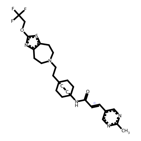 Cc1ncc(/C=C/C(=O)NC23CCC(CCN4CCc5nc(OCC(F)(F)F)sc5CC4)(CC2)CC3)cn1